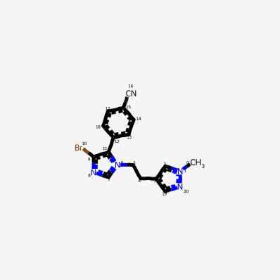 Cn1cc(CCn2cnc(Br)c2-c2ccc(C#N)cc2)cn1